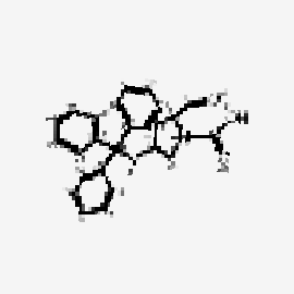 O=CC1CC(SC(c2ccccc2)(c2ccccc2)c2ccccc2)CN1C(=O)O